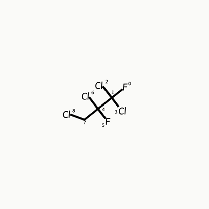 FC(Cl)(Cl)C(F)(Cl)CCl